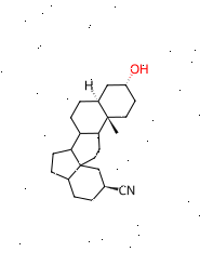 C[C@]12CC[C@@H](O)C[C@@H]1CCC1C3CCC4CC[C@H](C#N)CC43CCC12